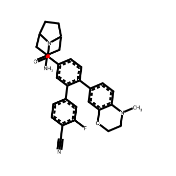 CN1CCOc2cc(-c3ccc(C(=O)N4C5CCC4CC(N)C5)cc3-c3ccc(C#N)c(F)c3)ccc21